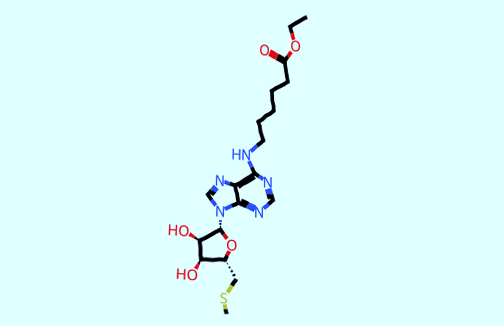 CCOC(=O)CCCCCNc1ncnc2c1ncn2[C@@H]1O[C@H](CSC)[C@@H](O)[C@H]1O